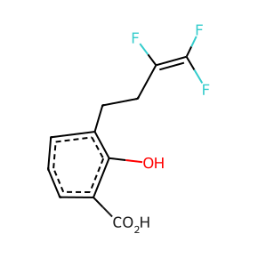 O=C(O)c1cccc(CCC(F)=C(F)F)c1O